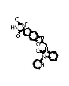 CN1C(=O)NC(=O)C12Cc1cc3nc(Cn4c(=O)n(-c5ccccn5)c5ccccc54)oc3cc1C2